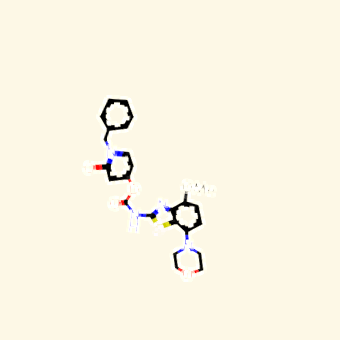 COc1ccc(N2CCOCC2)c2sc(NC(=O)Oc3ccn(Cc4ccccc4)c(=O)c3)nc12